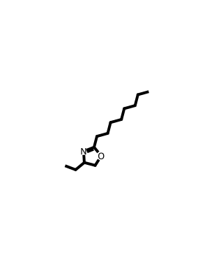 CCCCCCCCC1=NC(CC)CO1